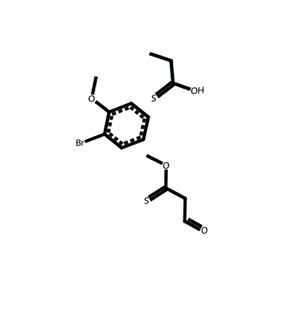 CCC(O)=S.COC(=S)CC=O.COc1ccccc1Br